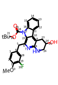 COc1ccc(Cc2nc3c(c4c5ccccc5n(C(=O)OC(C)(C)C)c24)CC(O)CN3)cc1F